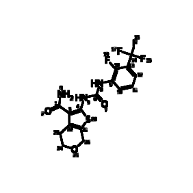 NC(=O)c1c(NC(=O)Nc2cccc(C(F)(F)F)c2F)sc2c1CCOC2